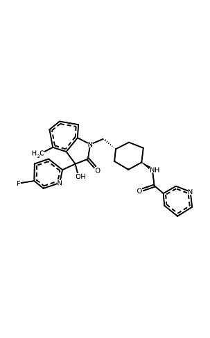 Cc1cccc2c1C(O)(c1ccc(F)cn1)C(=O)N2C[C@H]1CC[C@H](NC(=O)c2cccnc2)CC1